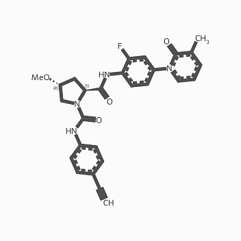 C#Cc1ccc(NC(=O)N2C[C@H](OC)C[C@H]2C(=O)Nc2ccc(-n3cccc(C)c3=O)cc2F)cc1